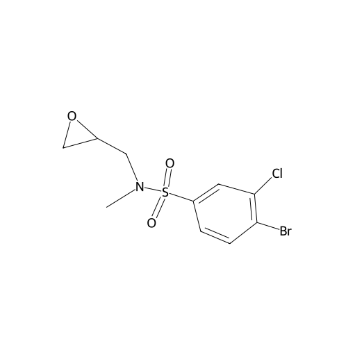 CN(CC1CO1)S(=O)(=O)c1ccc(Br)c(Cl)c1